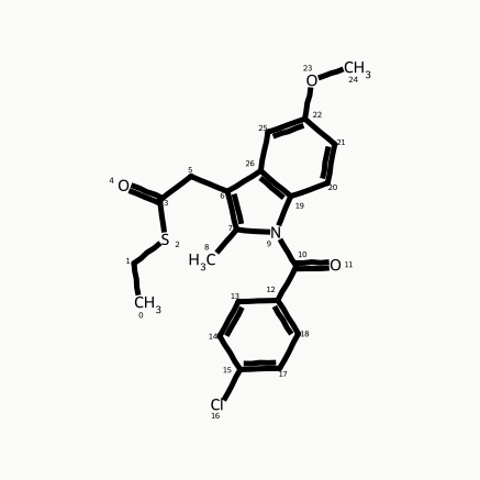 CCSC(=O)Cc1c(C)n(C(=O)c2ccc(Cl)cc2)c2ccc(OC)cc12